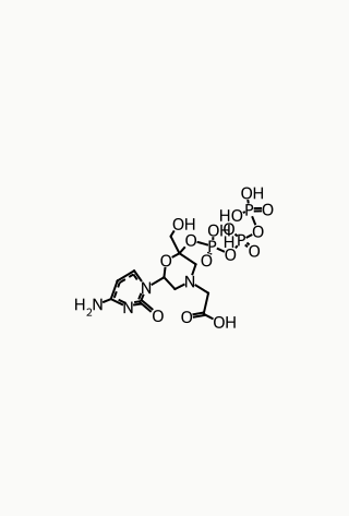 Nc1ccn(C2CN(CC(=O)O)CC(CO)(OP(=O)(O)OP(=O)(O)OP(=O)(O)O)O2)c(=O)n1